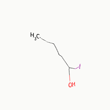 CCCC(O)I